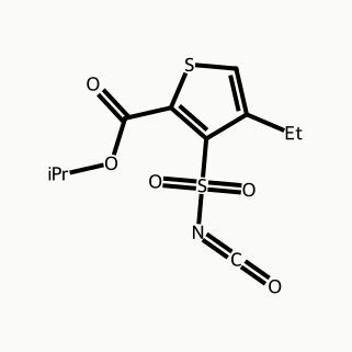 CCc1csc(C(=O)OC(C)C)c1S(=O)(=O)N=C=O